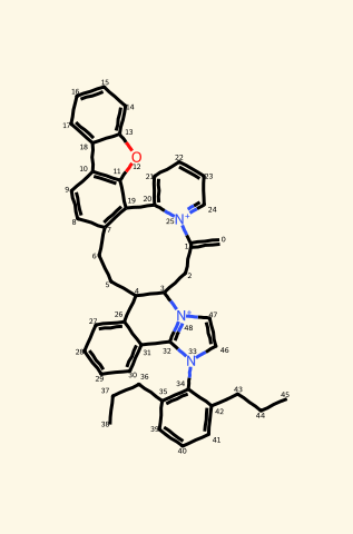 C=C1CC2C(CCc3ccc4c(oc5ccccc54)c3-c3cccc[n+]31)c1ccccc1-c1n(-c3c(CCC)cccc3CCC)cc[n+]12